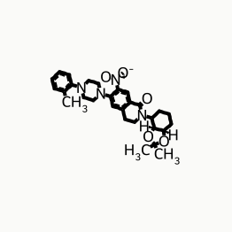 Cc1ccccc1N1CCN(c2cc3c(cc2[N+](=O)[O-])C(=O)N(C2CCC[C@@H]4OC(C)(C)O[C@H]24)CC3)CC1